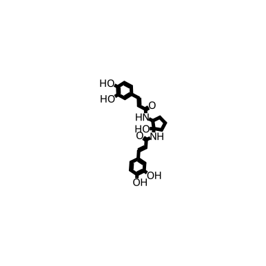 O=C(C=Cc1ccc(O)c(O)c1)NC1CCCC1(O)NC(=O)C=Cc1ccc(O)c(O)c1